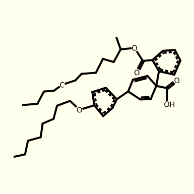 CCCCCCCCCCC(C)OC(=O)c1ccccc1C1(C(=O)O)C=CC(c2ccc(OCCCCCCCC)cc2)C=C1